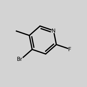 Cc1cnc(F)cc1Br